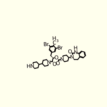 Cc1c(Br)cc(C[C@@H](OC(=O)N2CCC(N3CCc4ccccc4NC3=O)CC2)C(=O)N2CCC(C3CCNCC3)CC2)cc1Br